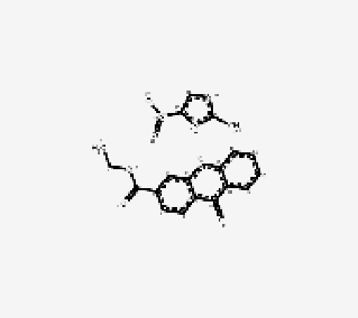 CCOC(=O)c1ccc2c(=O)c3ccccc3sc2c1.Cc1ncc([N+](=O)[O-])[nH]1